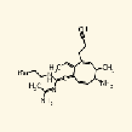 C#CCC/C1=C/C(C)C(N)C=CC(=C=C(/N=C(\C)N)NCCC(C)(C)C)\C1=C/C